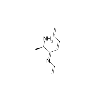 C=C/C=C\C(=N/C=C)[C@@H](C)N